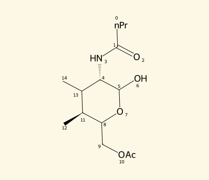 CCCC(=O)N[C@@H]1C(O)OC(COC(C)=O)[C@@H](C)C1C